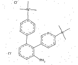 C[N+](C)(C)c1ccc(-c2cccc(P)c2-c2ccc([N+](C)(C)C)cc2)cc1.[Cl-].[Cl-]